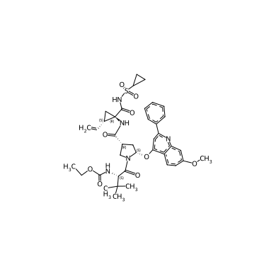 C=C[C@@H]1C[C@]1(NC(=O)[C@@H]1C[C@H](Oc2cc(-c3ccccc3)nc3cc(OC)ccc23)N(C(=O)[C@@H](NC(=O)OCC)C(C)(C)C)C1)C(=O)NS(=O)(=O)C1CC1